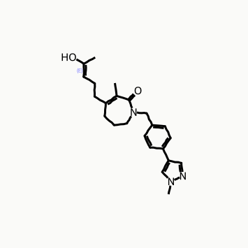 CC1=C(CC/C=C(\C)O)CCCN(Cc2ccc(-c3cnn(C)c3)cc2)C1=O